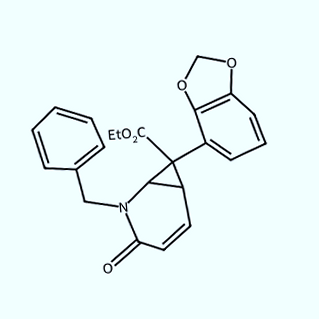 CCOC(=O)C1(c2cccc3c2OCO3)C2C=CC(=O)N(Cc3ccccc3)C21